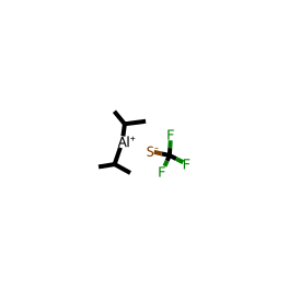 C[CH](C)[Al+][CH](C)C.FC(F)(F)[S-]